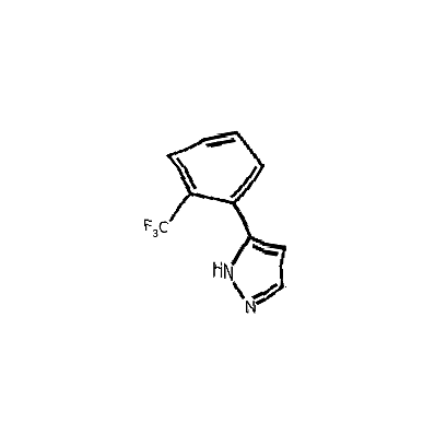 FC(F)(F)c1ccccc1-c1c[c]n[nH]1